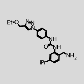 CCOCc1cn(-c2ccc(NC(=O)Nc3cc(C(C)C)ccc3CN)cc2)nn1